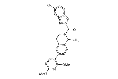 COc1ncc(-c2ccc3c(c2)CCN(C(=O)c2cc4ccc(Cl)cn4n2)C3C)c(OC)n1